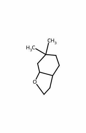 CC1(C)CCC2CCOC2C1